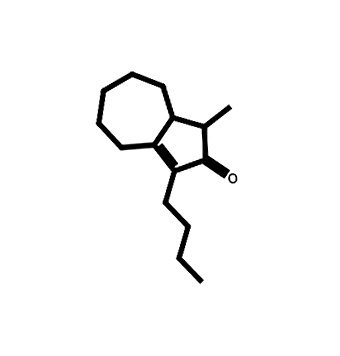 CCCCC1=C2CCCCCC2C(C)C1=O